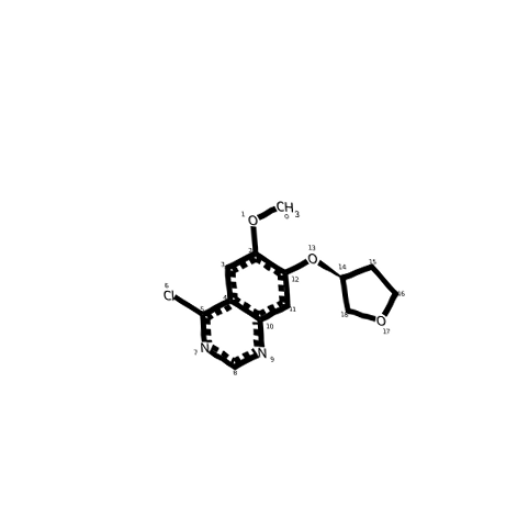 COc1cc2c(Cl)ncnc2cc1O[C@H]1CCOC1